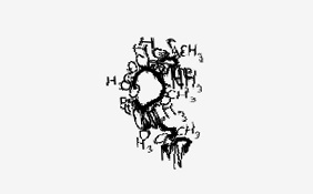 CC[C@H]1OC(=O)[C@@](C)(F)C(=O)[C@H](C)[C@@H](OC2O[C@H](C)C[C@H](N(C)C)[C@H]2O)[C@@](C)(OC)C[C@@H](C)C(=O)[C@H](C)[C@H]2N(CCCC(C)(C)n3cnc4ncccc43)C(=O)O[C@]12CC